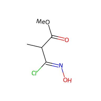 COC(=O)C(C)/C(Cl)=N/O